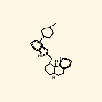 CN1CCN(c2cccc3[nH]c(CN4CCC[C@@H]5CCc6cccnc6[C@H]54)nc23)CC1